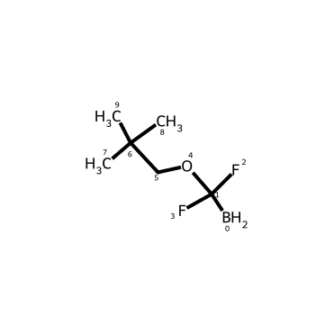 BC(F)(F)OCC(C)(C)C